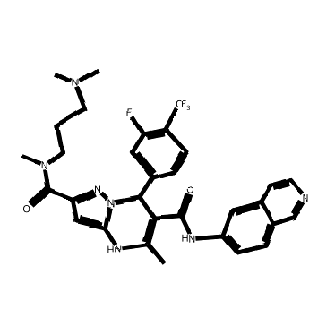 CC1=C(C(=O)Nc2ccc3cnccc3c2)C(c2ccc(C(F)(F)F)c(F)c2)n2nc(C(=O)N(C)CCCN(C)C)cc2N1